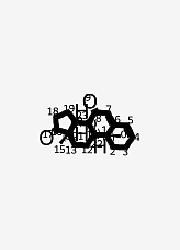 C[C@]12CCC=CC1=CC(=O)[C@@H]1[C@H]2CC[C@]2(C)C(=O)CC[C@@H]12